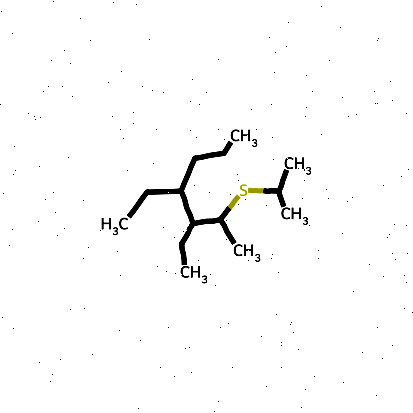 CCCC(CC)C(CC)C(C)SC(C)C